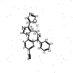 C#Cc1ccc2c(c1)C(c1ccccc1)=N[C@@H](C)c1c(-c3cnco3)ncn1-2